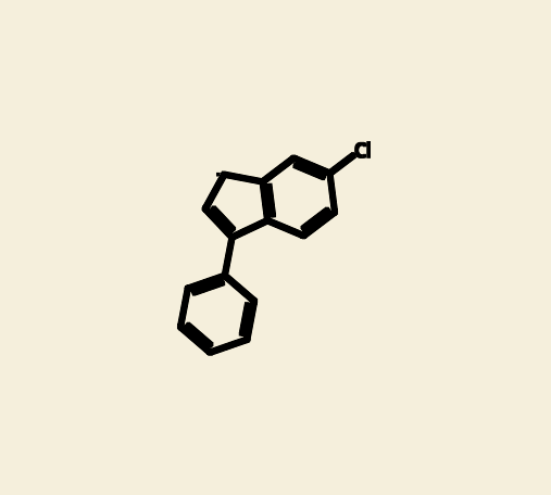 Clc1ccc2c(c1)[CH]C=C2c1ccccc1